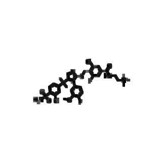 COc1cc(-n2c(C(C)(C)c3ccc(S(N)(=O)=O)c(Cl)c3)cnc2SCc2c(F)cc(C(=O)NCC[N+](C)(C)C)cc2Cl)ccc1F